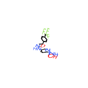 ONc1ccc(Nc2ncc(-c3ccc(C(F)(F)F)cc3)o2)cn1